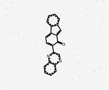 O=C1C2=Cc3ccccc3C2=CC=C1c1cnc2ccccc2n1